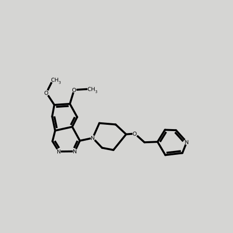 COc1cc2cnnc(N3CCC(OCc4ccncc4)CC3)c2cc1OC